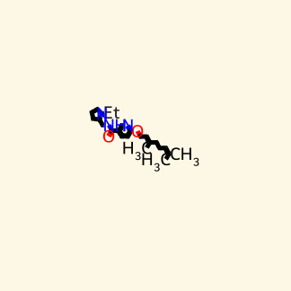 CCN1CCCC1CNC(=O)c1ccc(OC/C=C(\C)CCC=C(C)C)nc1